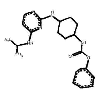 CC(C)Nc1ccnc(NC2CCC(NC(=O)Oc3ccccc3)CC2)n1